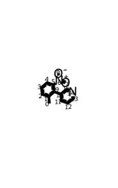 Cc1cccc([N+](=O)[O-])c1-c1cccnc1